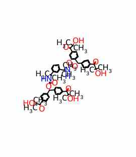 CC(C)(O)C(=O)c1ccc(C(OC(=O)NC(C)(C)c2cccc(C(C)(C)NC(=O)OC(c3ccc(C(=O)C(C)(C)O)cc3)c3ccc(C(=O)C(C)(C)O)cc3)c2)c2ccc(C(=O)C(C)(C)O)cc2)cc1